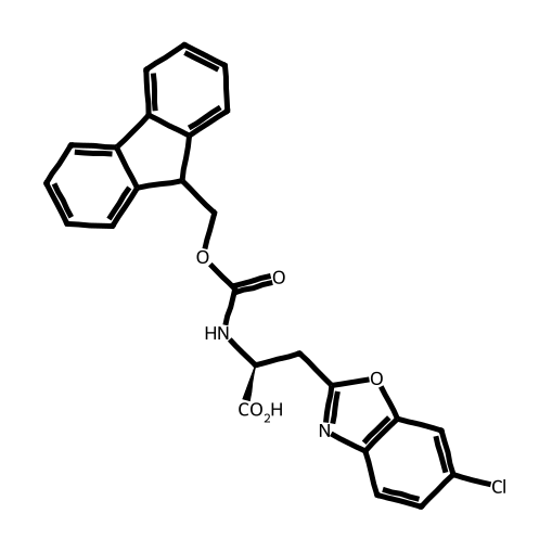 O=C(N[C@@H](Cc1nc2ccc(Cl)cc2o1)C(=O)O)OCC1c2ccccc2-c2ccccc21